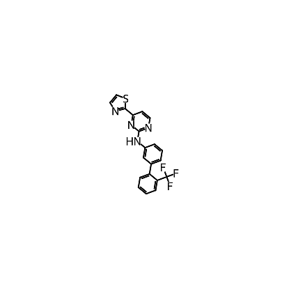 FC(F)(F)c1ccccc1-c1cccc(Nc2nccc(-c3nccs3)n2)c1